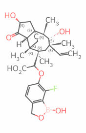 C=C[C@]1(C)C[C@@H](C(Oc2ccc3c(c2F)B(O)OC3)C(=O)O)[C@@]2(C)[C@H](C)CC[C@]3(C[C@H](O)C(=O)[C@H]32)[C@@H](C)[C@@H]1O